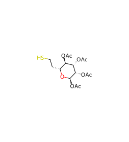 CC(=O)O[C@H]1O[C@H](CCS)[C@@H](OC(C)=O)[C@H](OC(C)=O)[C@@H]1OC(C)=O